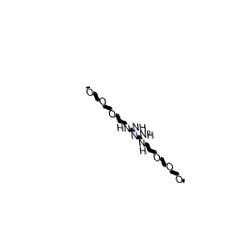 COCCOCCOCCCNC(=N)/N=C(\N)NCCCOCCOCCOC